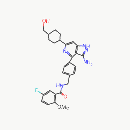 COc1ccc(F)cc1C(=O)NCc1ccc(-c2nc(C3CCC(CO)CC3)cc3[nH]nc(N)c23)cc1